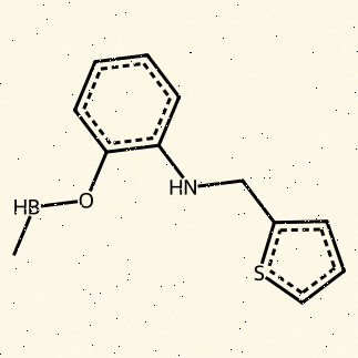 CBOc1ccccc1NCc1cccs1